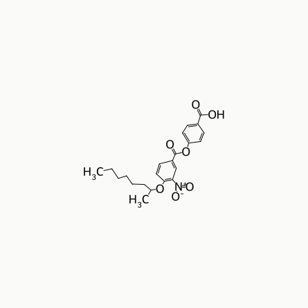 CCCCCCC(C)Oc1ccc(C(=O)Oc2ccc(C(=O)O)cc2)cc1[N+](=O)[O-]